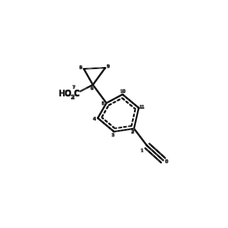 C#Cc1ccc(C2(C(=O)O)CC2)cc1